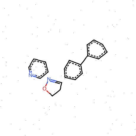 C1=NOCC1.c1ccc(-c2ccccc2)cc1.c1ccncc1